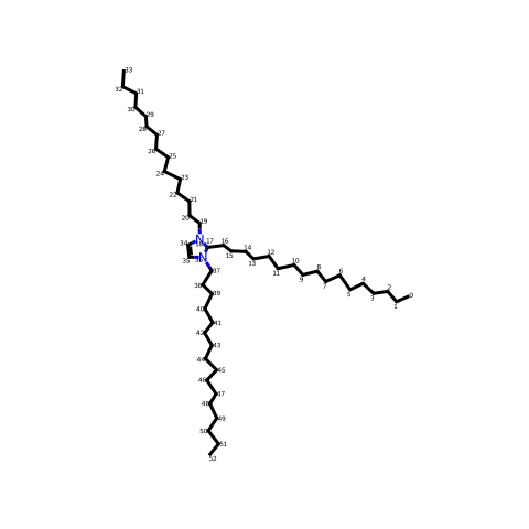 CCCCCCCCCCCCCCCCCC1N(CCCCCCCCCCCCCCC)C=CN1CCCCCCCCCCCCCCCC